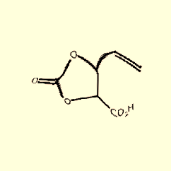 C=CC1OC(=O)OC1C(=O)O